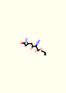 C=CCOC(=O)C(=[N+]=[N-])C(=O)CC1CC(=O)N1